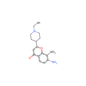 CC(C)CN1CCC(c2cc(=O)c3ccc(N)c([N+](=O)[O-])c3o2)CC1